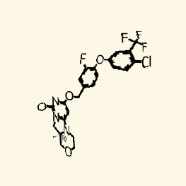 C[C@@]12COCCN1c1cc(OCc3ccc(Oc4ccc(Cl)c(C(F)(F)F)c4)c(F)c3)nc(=O)n1C2